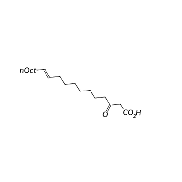 CCCCCCCCC=CCCCCCCCC(=O)CC(=O)O